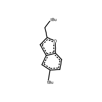 CC(C)(C)Cc1cc2cc(C(C)(C)C)ccc2o1